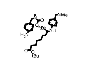 CN(Cc1ccc(N)cc1)C(=O)OC(C)(C)C.CNCc1ccc(NC(=O)CCCCCCC(=O)OC(C)(C)C)cc1